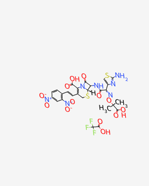 CC(C)(O/N=C(\C(=O)N[C@@H]1C(=O)N2C(C(=O)O)=C(C=Cc3ccc([N+](=O)[O-])cc3[N+](=O)[O-])CS[C@@H]12)c1csc(N)n1)C(=O)O.O=C(O)C(F)(F)F